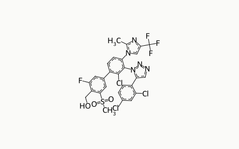 Cc1nc(C(F)(F)F)cn1-c1ccc(-c2cc(F)c(CO)c(S(C)(=O)=O)c2)c(Cl)c1-n1nncc1-c1ccc(Cl)cc1Cl